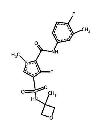 Cc1cc(NC(=O)c2c(F)c(S(=O)(=O)NC3(C)COC3)cn2C)ccc1F